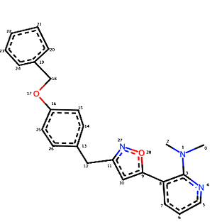 CN(C)c1ncccc1-c1cc(Cc2ccc(OCc3ccccc3)cc2)no1